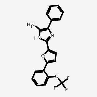 Cc1[nH]c(-c2ccc(-c3ccccc3OC(F)(F)F)o2)nc1-c1ccccc1